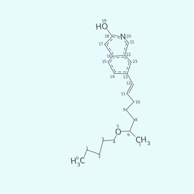 CCCCCOC(C)CCCC=Cc1ccc2cc(O)ncc2c1